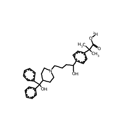 [2H]OC(=O)C(C)(C)c1ccc(C(O)CCCN2CCC(C(O)(c3ccccc3)c3ccccc3)CC2)cc1